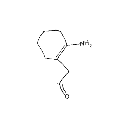 NC1=C(C[C]=O)CCCC1